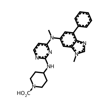 CN(c1cc(-c2ccccc2)c2ncn(C)c2c1)c1ccnc(NC2CCN(C(=O)O)CC2)n1